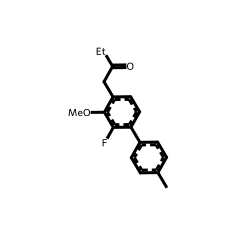 CCC(=O)Cc1ccc(-c2ccc(C)cc2)c(F)c1OC